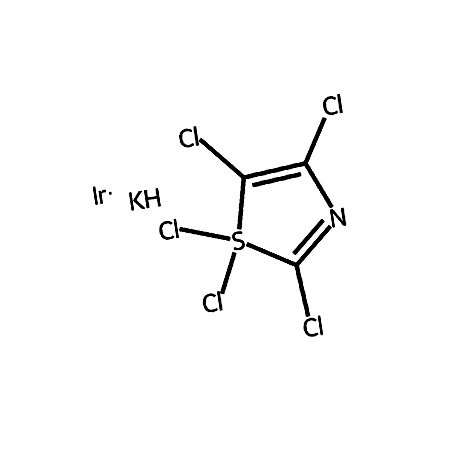 ClC1=NC(Cl)=C(Cl)S1(Cl)Cl.[Ir].[KH]